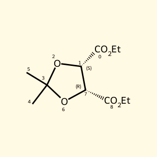 CCOC(=O)[C@H]1OC(C)(C)O[C@H]1C(=O)OCC